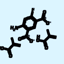 C=C(C)C(=O)O.C=C(C)C(=O)O.Nc1cc(F)c([N+](=O)[O-])cc1[N+](=O)[O-]